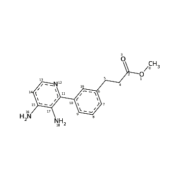 COC(=O)CCc1cccc(-c2nccc(N)c2N)c1